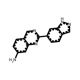 Nc1ccc2cnc(-c3ccc4cn[nH]c4c3)nc2c1